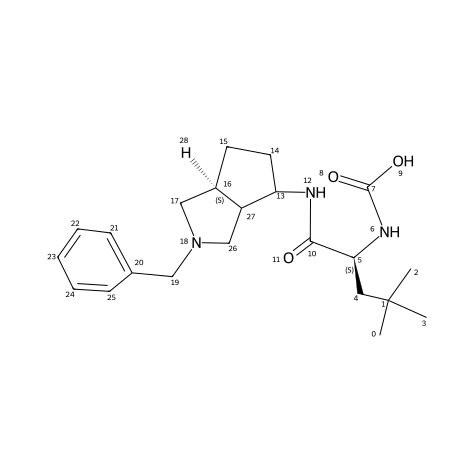 CC(C)(C)C[C@H](NC(=O)O)C(=O)NC1CC[C@@H]2CN(Cc3ccccc3)CC12